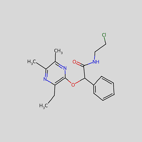 CCc1nc(C)c(C)nc1OC(C(=O)NCCCl)c1ccccc1